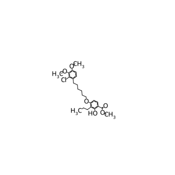 CCCc1c(OCCCCCCc2ccc(OC)c(OC)c2Cl)ccc(C(=O)OC)c1O